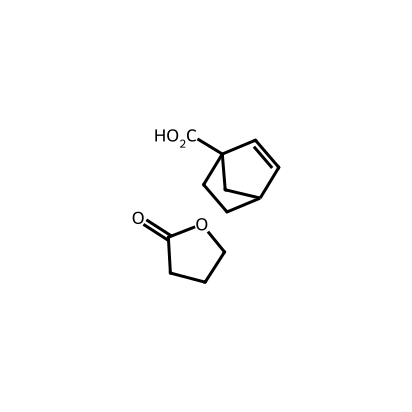 O=C(O)C12C=CC(CC1)C2.O=C1CCCO1